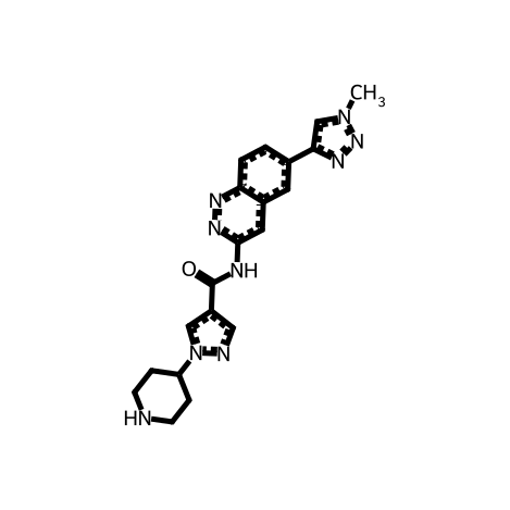 Cn1cc(-c2ccc3nnc(NC(=O)c4cnn(C5CCNCC5)c4)cc3c2)nn1